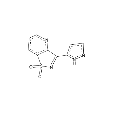 O=S1(=O)N=C(c2ccn[nH]2)c2ncccc21